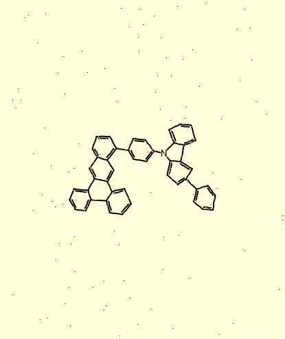 c1ccc(-c2ccc3c(c2)c2ccccc2n3-c2ccc(-c3cccc4cc5c6ccccc6c6ccccc6c5cc34)cc2)cc1